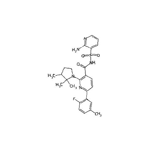 Cc1ccc(F)c(-c2ccc(C(=O)NS(=O)(=O)c3cccnc3N)c(N3CCC(C)C3(C)C)n2)c1